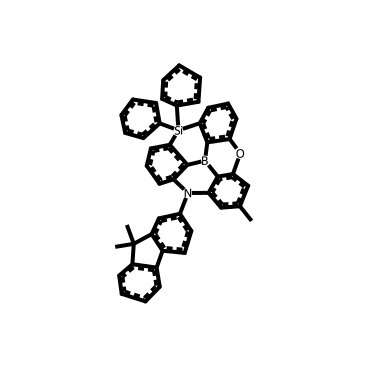 Cc1cc2c3c(c1)N(c1ccc4c(c1)C(C)(C)c1ccccc1-4)c1cccc4c1B3c1c(cccc1[Si]4(c1ccccc1)c1ccccc1)O2